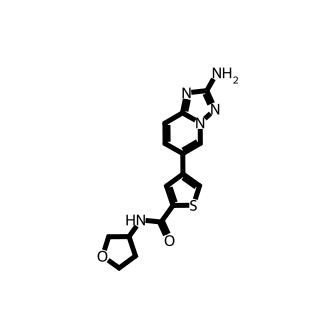 Nc1nc2ccc(-c3csc(C(=O)NC4CCOC4)c3)cn2n1